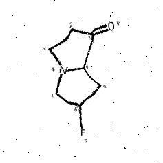 O=C1CCN2CC(F)CC12